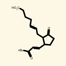 CCCCC(=O)/C=C/C1CCC(=O)C1C/C=C/CCCC(=O)O